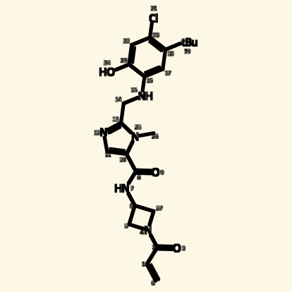 C=CC(=O)N1CC(NC(=O)c2cnc(CNc3cc(C(C)(C)C)c(Cl)cc3O)n2C)C1